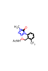 CC(=O)NOCc1c(-n2nnn(C)c2=O)cccc1C(F)(F)F